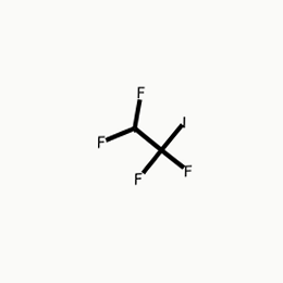 F[C](F)C(F)(F)I